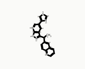 CC(c1ccc2ncccc2c1)c1noc2ncc(-c3cscn3)cc12